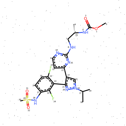 COC(=O)N[C@@H](C)CNc1nccc(-c2cn(C(C)C)nc2-c2c(F)ccc(NS(C)(=O)=O)c2F)n1